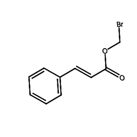 O=C(/C=C/c1ccccc1)OCBr